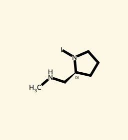 CNC[C@@H]1CCCN1I